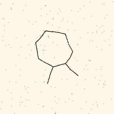 CC1CC[CH]CCC1C